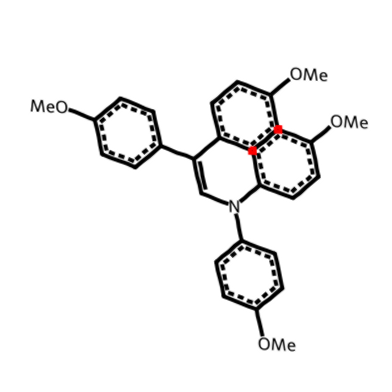 COc1ccc(C(=CN(c2ccc(OC)cc2)c2ccc(OC)cc2)c2ccc(OC)cc2)cc1